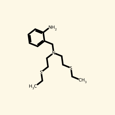 CCSCCN(CCSCC)Cc1ccccc1N